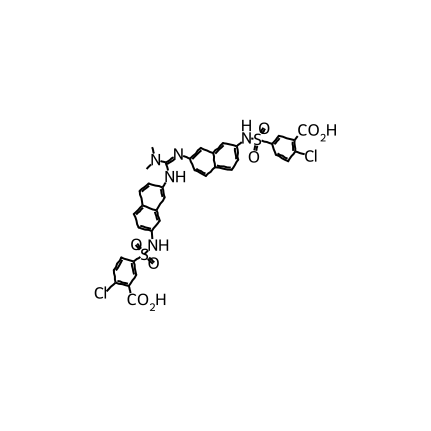 CN(C)/C(=N/c1ccc2ccc(NS(=O)(=O)c3ccc(Cl)c(C(=O)O)c3)cc2c1)Nc1ccc2ccc(NS(=O)(=O)c3ccc(Cl)c(C(=O)O)c3)cc2c1